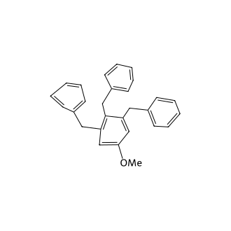 COc1cc(Cc2ccccc2)c(Cc2ccccc2)c(Cc2ccccc2)c1